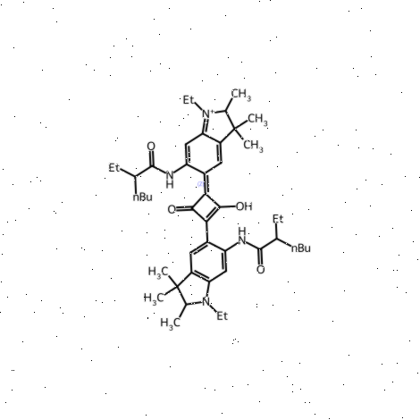 CCCCC(CC)C(=O)Nc1cc2c(cc1C1=C(O)/C(=c3\cc4c(cc3NC(=O)C(CC)CCCC)=[N+](CC)C(C)C4(C)C)C1=O)C(C)(C)C(C)N2CC